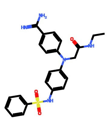 CCNC(=O)CN(c1ccc(NS(=O)(=O)c2ccccc2)cc1)c1ccc(C(=N)N)cc1